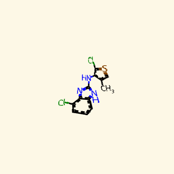 Cc1csc(Cl)c1Nc1nc2c(Cl)cccc2[nH]1